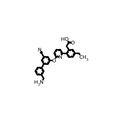 CCc1ccc(-c2cccc(Oc3cc(C#N)cc(-c4cccc(CN)c4)c3)n2)c(CC(=O)O)c1